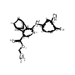 CCOC(=O)c1cnc(Nc2ccc(F)c(Cl)c2)c2c1C1CCC2C1